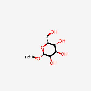 CCCCO[C@@H]1O[C@H](CO)[C@H](O)[C@@H](O)[C@H]1O